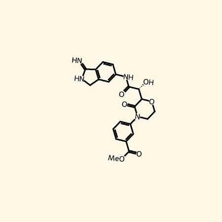 COC(=O)c1cccc(N2CCOC([C@@H](O)C(=O)Nc3ccc4c(c3)CNC4=N)C2=O)c1